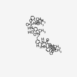 CCN(CCc1cccc([C@@H](C)Nc2c(Nc3ccc(Cl)c(S(=O)(=O)N(C)C)c3O)c(=O)c2=O)c1)C(=O)c1cccc(Nc2c(NC(c3ccccc3)C(C)(C)C)c(=O)c2=O)c1O